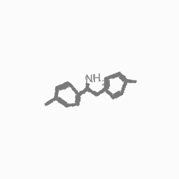 Cc1ccc(CC(N)c2ccc(C)cc2)cc1